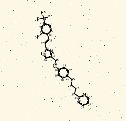 Fc1cc(C(F)(F)F)ccc1C=Cc1nc(COc2ccc(CCCCc3ncccn3)cc2)co1